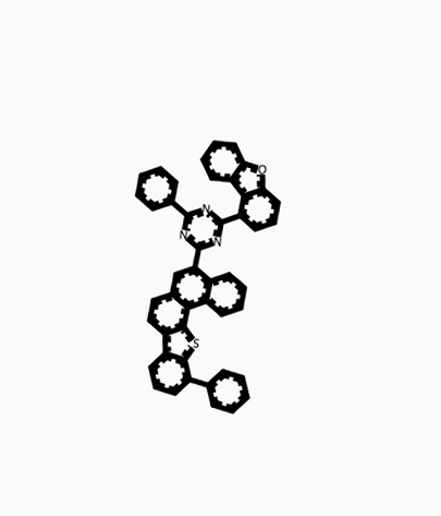 c1ccc(-c2nc(-c3cc4ccc5c6cccc(-c7ccccc7)c6sc5c4c4ccccc34)nc(-c3cccc4oc5ccccc5c34)n2)cc1